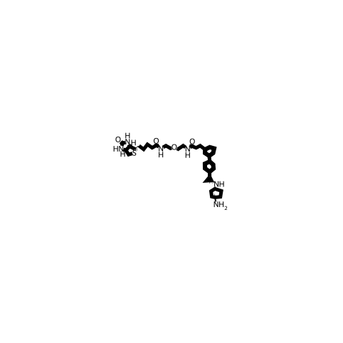 N[C@H]1CC[C@H](N[C@@H]2CC2c2ccc(-c3cccc(CCC(=O)NCCOCCNC(=O)CCCC[C@@H]4SC[C@@H]5NC(=O)N[C@@H]54)c3)cc2)CC1